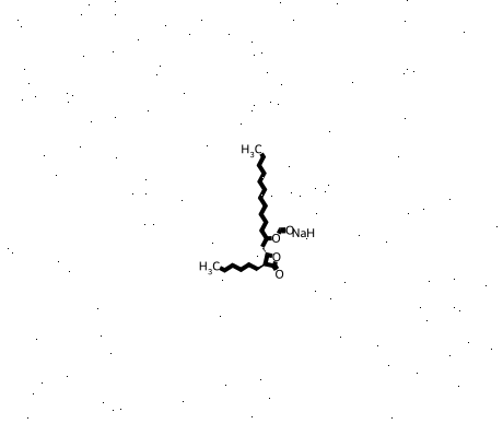 CCCCCCCCCCCC(C[C@@H]1OC(=O)[C@H]1CCCCCC)OC=O.[NaH]